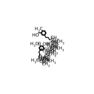 COc1cc(CCC[Si](C)(C)O[Si](C)(C)O[Si](C)(C)O[Si](C)(C)O[Si](C)(C)O[Si](C)(C)O[Si](C)(C)O[Si](C)(C)O[Si](C)(C)CCCc2ccc(C)c(CO)c2)ccc1O